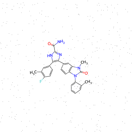 Cc1cc(-c2[nH]c(C(N)=O)nc2-c2ccc3c(c2)n(C)c(=O)n3-c2ccccc2C)ccc1F